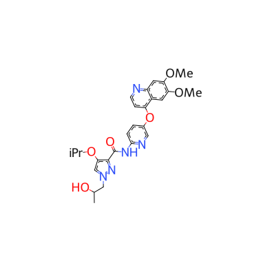 COc1cc2nccc(Oc3ccc(NC(=O)c4nn(CC(C)O)cc4OC(C)C)nc3)c2cc1OC